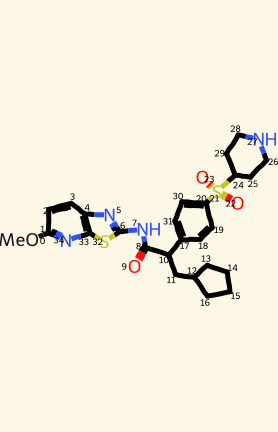 COc1ccc2nc(NC(=O)C(CC3CCCC3)c3ccc(S(=O)(=O)C4CCNCC4)cc3)sc2n1